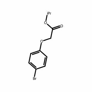 CC(C)OC(=O)COc1ccc(Br)cc1